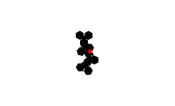 c1ccc(N(c2ccccc2)c2ccc3c(c2)c2ccccc2n3-c2cccc(-c3ccccc3-n3c4ccccc4c4cc(N(c5ccccc5)c5ccccc5)ccc43)c2)cc1